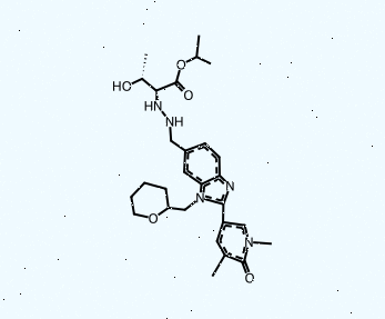 Cc1cc(-c2nc3ccc(CNN[C@H](C(=O)OC(C)C)[C@@H](C)O)cc3n2CC2CCCCO2)cn(C)c1=O